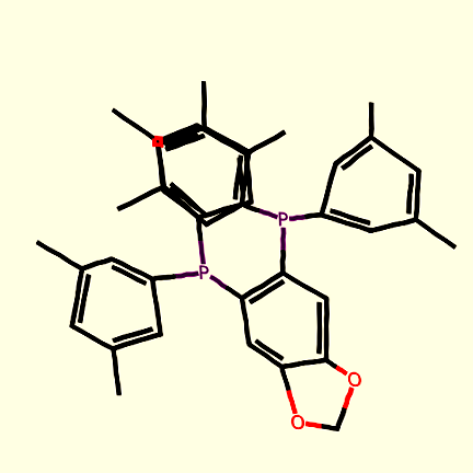 Cc1cc(C)cc(P(c2cc(C)cc(C)c2)c2cc3c(cc2P(c2cc(C)cc(C)c2)c2cc(C)cc(C)c2)OCO3)c1